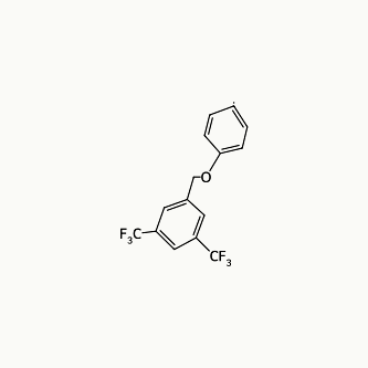 FC(F)(F)c1cc(COc2cc[c]cc2)cc(C(F)(F)F)c1